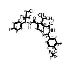 CC(C)c1c(C(=O)N[C@@H](c2ccc(F)cc2)C(F)(F)CO)cn2nc(-c3ccc(OC(F)(F)F)c(F)c3)[nH]c(=O)c12